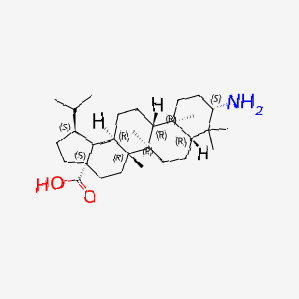 CC(C)[C@@H]1CC[C@]2(C(=O)O)CC[C@]3(C)[C@H](CC[C@@H]4[C@@]5(C)CC[C@H](N)C(C)(C)[C@@H]5CC[C@]43C)C12